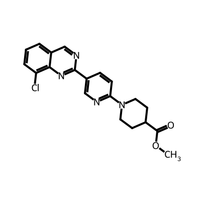 COC(=O)C1CCN(c2ccc(-c3ncc4cccc(Cl)c4n3)cn2)CC1